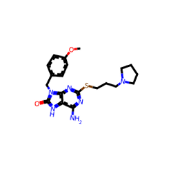 COc1ccc(Cn2c(=O)[nH]c3c(N)nc(SCCCN4CCCC4)nc32)cc1